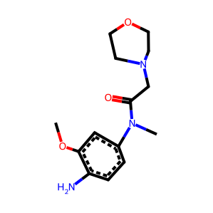 COc1cc(N(C)C(=O)CN2CCOCC2)ccc1N